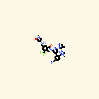 CC(C)CNc1cc(-c2cc(C#N)ccc2-c2nncn2C)cc(N2Cc3c(cc(CNC4CC(=O)N(C)C4)cc3C(F)(F)F)C2=O)n1